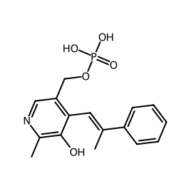 CC(=Cc1c(COP(=O)(O)O)cnc(C)c1O)c1ccccc1